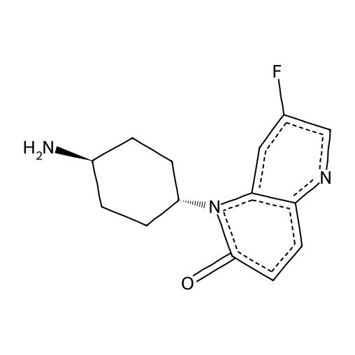 N[C@H]1CC[C@H](n2c(=O)ccc3ncc(F)cc32)CC1